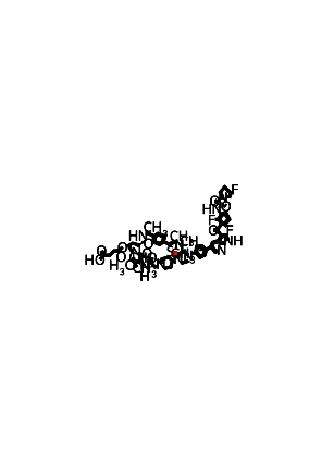 C=N/C(C)=C(\SC)c1ccc([C@H](C)NC(=O)[C@@H]2C[C@@H](OC(=O)CCC(=O)O)CN2C(=O)[C@@H](NC(=O)CN2CCC(N3CCN(c4ccc(-c5cnc6[nH]cc(C(=O)c7c(F)ccc(NS(=O)(=O)N8CC[C@@H](F)C8)c7F)c6c5)cc4)CC3)CC2)C(C)(C)C)cc1